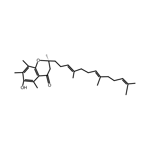 CC(C)=CCC/C(C)=C/CC/C(C)=C/CC[C@@]1(C)CC(=O)c2c(C)c(O)c(C)c(C)c2O1